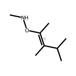 CNO/C(C)=C(\C)C(C)C